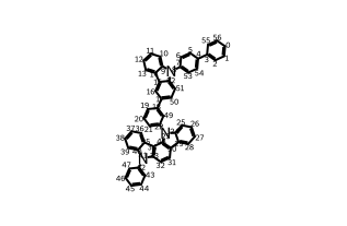 c1ccc(-c2ccc(-n3c4ccccc4c4cc(-c5cccc(-n6c7ccccc7c7ccc8c(c9ccccc9n8-c8ccccc8)c76)c5)ccc43)cc2)cc1